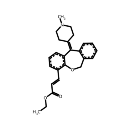 CCOC(=O)C=Cc1cccc2c1OCc1ccccc1C2=C1CCN(C)CC1